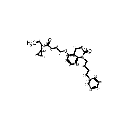 CCN(C(=O)CCCOc1cccc2c1CCC(=O)N2CCCCc1ccccc1)C1CC1